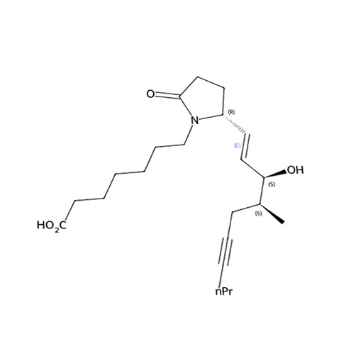 CCCC#CC[C@H](C)[C@H](O)/C=C/[C@H]1CCC(=O)N1CCCCCCC(=O)O